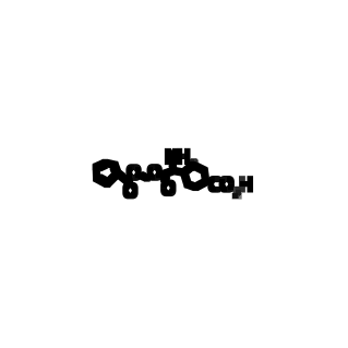 NC(C(=O)OCOC(=O)c1ccccc1)C1CCC(C(=O)O)CC1